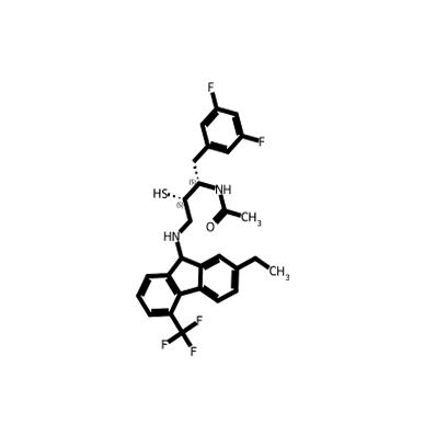 CCc1ccc2c(c1)C(NC[C@H](S)[C@H](Cc1cc(F)cc(F)c1)NC(C)=O)c1cccc(C(F)(F)F)c1-2